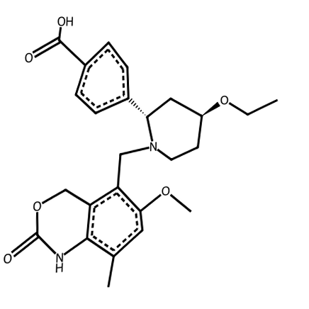 CCO[C@H]1CCN(Cc2c(OC)cc(C)c3c2COC(=O)N3)[C@H](c2ccc(C(=O)O)cc2)C1